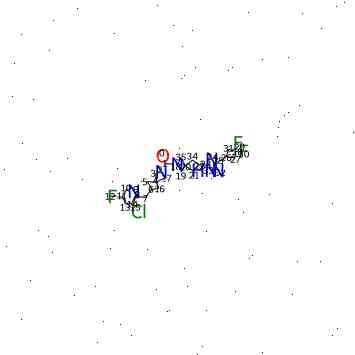 O=C(N1CC2(CC(Cc3ncc(F)cc3Cl)C2)C1)N1CC2(CC(c3nc(C4CC(F)(F)C4)n[nH]3)C2)C1